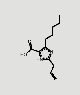 C=CCc1nc(CCCCC)c(C(=O)O)[nH]1